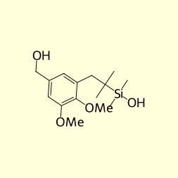 COc1cc(CO)cc(CC(C)(C)[Si](C)(C)O)c1OC